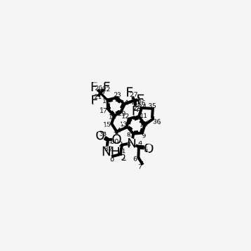 CCCN(C(=O)CC)c1cc2c(cc1C(Cc1cc(C(F)(F)F)cc(C(F)(F)F)c1)OC(N)=O)CCC2